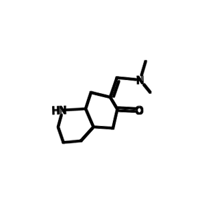 CN(C)C=C1CC2NCCCC2CC1=O